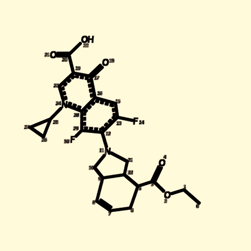 CCOC(=O)C1CC=CC2CN(c3c(F)cc4c(=O)c(C(=O)O)cn(C5CC5)c4c3F)CC21